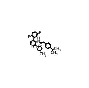 CC(C)c1ccc(CC(=O)Nc2c(-c3cc(F)ccc3F)ccnc2N2CC[C@H](C)C2)cc1